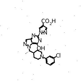 C[C@@H](C1CCN(c2cccc(Cl)c2)CC1)n1ncc2nc(-n3cc(C(=O)O)cn3)nc(O)c21